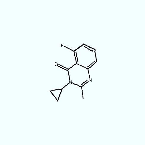 Cc1nc2cccc(F)c2c(=O)n1C1CC1